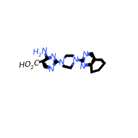 Nc1nc(N2CCN(c3ncc4c(n3)CCCC4)CC2)ncc1C(=O)O